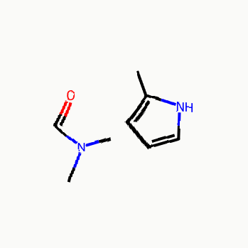 CN(C)C=O.Cc1ccc[nH]1